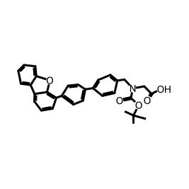 CC(C)(C)OC(=O)N(CC(=O)O)Cc1ccc(-c2ccc(-c3cccc4c3oc3ccccc34)cc2)cc1